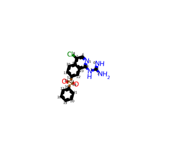 N=C(N)Nc1ncc(Cl)c2ccc(S(=O)(=O)c3ccccc3)cc12